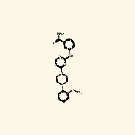 CNC(=O)c1cccc(Nc2ncnc(N3CCN(c4ccccc4OC(F)(F)F)CC3)n2)c1